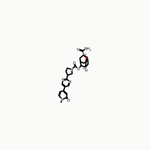 Cn1ccc(-c2cnc(C3CCN(C(=O)OC4C5CC6C[C@@H]4C[C@@](C(N)=O)(C6)C5)C3)nc2)cc1=O